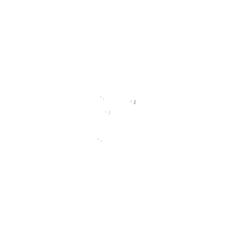 NC(=O)C(Cc1ccccc1)=NNc1nc(-c2ccccc2)cs1